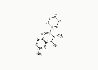 CCC(c1cccc(N)c1)C(C)C(=O)N1CCOCC1